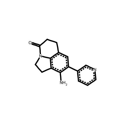 Nc1c(-c2cccnc2)cc2c3c1CCN3C(=O)CC2